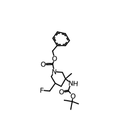 CC1(NC(=O)OC(C)(C)C)CC(CF)CN(C(=O)OCc2ccccc2)C1